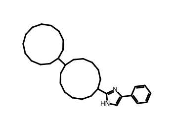 c1ccc(-c2c[nH]c(C3CCCCCCC(C4CCCCCCCCCCCC4)CCCCC3)n2)cc1